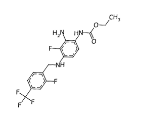 CCOC(=O)Nc1ccc(NCc2ccc(C(F)(F)F)cc2F)c(F)c1N